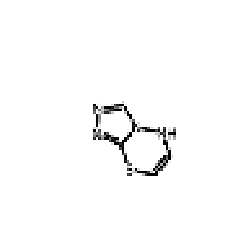 C1=CSc2nncn2N1